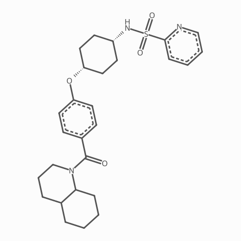 O=C(c1ccc(O[C@H]2CC[C@@H](NS(=O)(=O)c3ccccn3)CC2)cc1)N1CCCC2CCCCC21